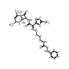 CC1C=C(C(=O)O)N2C(=O)C(NC(=O)/C(=N/OCCCNC(=O)CNc3ccccc3)c3nsc(N)n3)[C@H]2S1